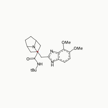 COc1ccc2[nH]c(CC3CC4CCC(C3)N4CC(=O)NC(C)(C)C)nc2c1OC